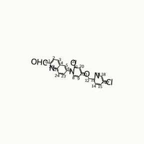 O=Cc1ccc2cc(-n3ccc(OCc4ccc(Cl)cn4)cc3=O)ccc2n1